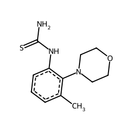 Cc1cccc(NC(N)=S)c1N1CCOCC1